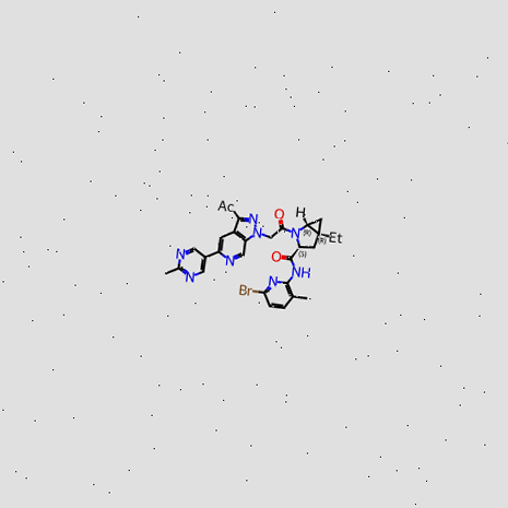 CC[C@@]12C[C@@H](C(=O)Nc3nc(Br)ccc3C)N(C(=O)Cn3nc(C(C)=O)c4cc(-c5cnc(C)nc5)ncc43)[C@@H]1C2